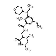 C=Cc1cc(C(=O)NCC2C(=O)NC(C)CC2C)c(C)c(N(CC)C2CCOCC2)c1